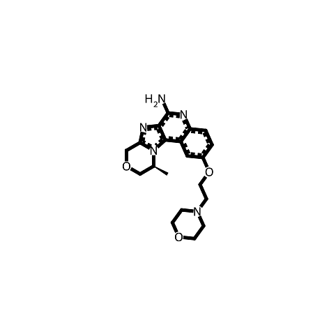 C[C@H]1COCc2nc3c(N)nc4ccc(OCCN5CCOCC5)cc4c3n21